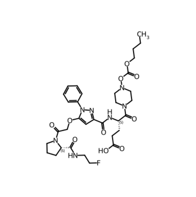 CCCCOC(=O)ON1CCN(C(=O)[C@H](CCC(=O)O)NC(=O)c2cc(OCC(=O)N3CCC[C@H]3C(=O)NCCF)n(-c3ccccc3)n2)CC1